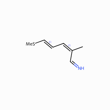 CS/C=C/C=C(/C)C=N